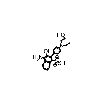 CCN(CCO)c1ccc(-c2c(O)c(N)c3ccccc3c2S(=O)(=O)O)cc1